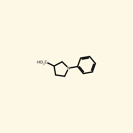 O=C(O)C1CCN(c2c[c]ccc2)C1